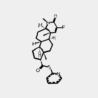 CN1C(=O)C(F)=C[C@]2(C)[C@H]3CC[C@]4(C)[C@@H](C(=O)Sc5ccccn5)CC[C@H]4[C@@H]3CC[C@@H]12